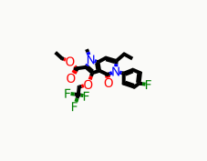 CCOC(=O)c1c(OCC(F)(F)F)c2c(=O)n(-c3ccc(F)cc3)c(CC)cc2n1C